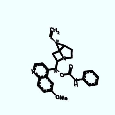 C=C[C@@H]1C2CCN3C([C@H](OC(=O)Nc4ccccc4)c4ccnc5ccc(OC)cc45)CC213